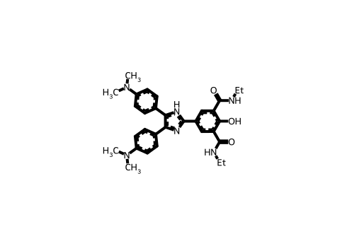 CCNC(=O)c1cc(-c2nc(-c3ccc(N(C)C)cc3)c(-c3ccc(N(C)C)cc3)[nH]2)cc(C(=O)NCC)c1O